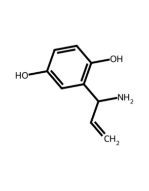 C=CC(N)c1cc(O)ccc1O